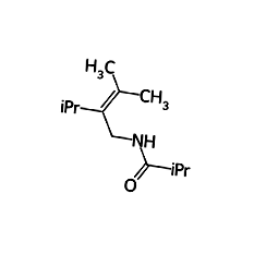 CC(C)=C(CNC(=O)C(C)C)C(C)C